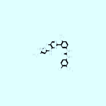 Cc1cc(Nc2nc(-c3cc(NC(=O)Nc4ccc(Cl)c(C(F)(F)F)c4)ccc3C)ncc2F)n[nH]1